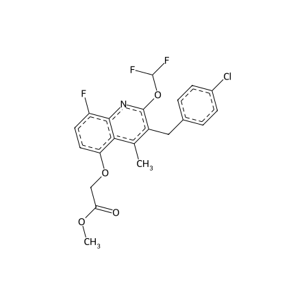 COC(=O)COc1ccc(F)c2nc(OC(F)F)c(Cc3ccc(Cl)cc3)c(C)c12